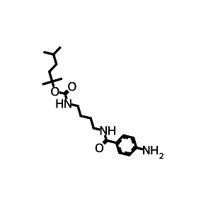 CC(C)CCC(C)(C)OC(=O)NCCCCNC(=O)c1ccc(N)cc1